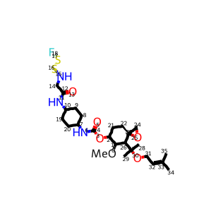 COC1C(OC(=O)NC2CCC(NC(=O)CNSSF)CC2)CC[C@]2(CO2)C1C(C)(C)OCC=C(C)C